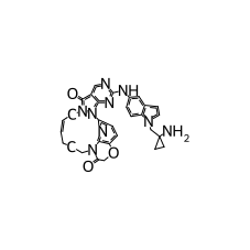 NC1(Cn2ccc3cc(Nc4ncc5c(=O)n6n(c5n4)-c4ccc5c(n4)N(CCC/C=C\C6)C(=O)CO5)ccc32)CC1